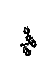 CCC(CCN1c2ccccc2Sc2cc(-c3ccncc3)ccc21)N(CC)Cc1ccccn1